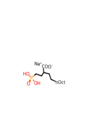 CCCCCCCCCCC(CCP(=O)(O)O)C(=O)[O-].[Na+]